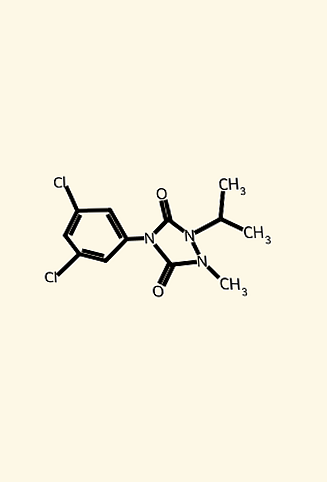 CC(C)n1c(=O)n(-c2cc(Cl)cc(Cl)c2)c(=O)n1C